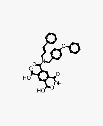 O=C(O)c1cc(C(=O)O)c(C(=O)N(CC=Cc2ccccc2)Cc2ccc(Oc3ccccc3)cc2)cc1C(=O)O